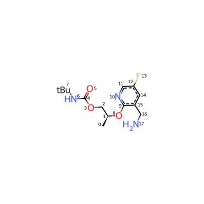 C[C@@H](COC(=O)NC(C)(C)C)Oc1ncc(F)cc1CN